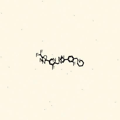 Fc1cc(-c2cn(Cc3ncc(-c4nnc(C(F)F)o4)cc3F)nn2)ccc1CN1CCCCC1